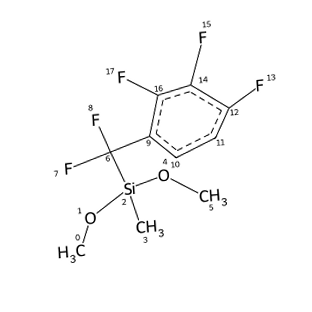 CO[Si](C)(OC)C(F)(F)c1ccc(F)c(F)c1F